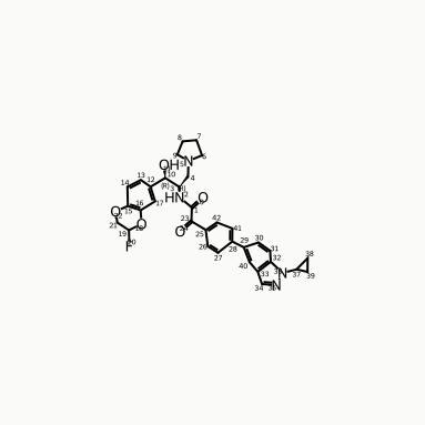 O=C(N[C@H](CN1CCCC1)[C@H](O)c1ccc2c(c1)OC(F)CO2)C(=O)c1ccc(-c2ccc3c(cnn3C3CC3)c2)cc1